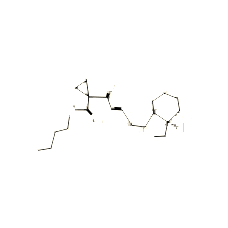 CCCCOC(=O)C1(C(=O)/C=C/[C@@H](C)[C@H]2CC[C@H]3[C@@H](C)CCC[C@]23C)CC1